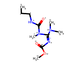 CCCNC(=O)N(C)/C(=N\C(=O)OC)N(C)C